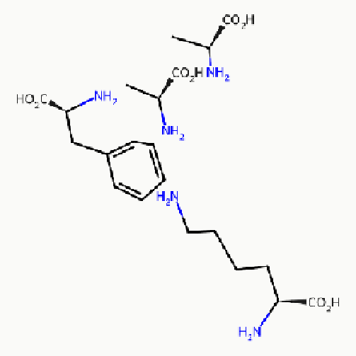 C[C@H](N)C(=O)O.C[C@H](N)C(=O)O.NCCCC[C@H](N)C(=O)O.N[C@@H](Cc1ccccc1)C(=O)O